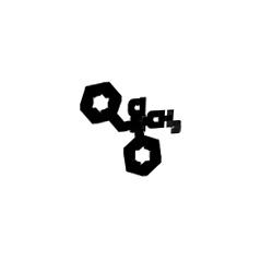 C[Si](Cl)(Cc1ccccc1)c1ccccc1